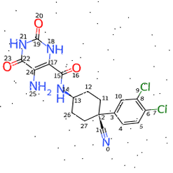 N#C[C@]1(c2ccc(Cl)c(Cl)c2)CC[C@H](NC(=O)c2[nH]c(=O)[nH]c(=O)c2N)CC1